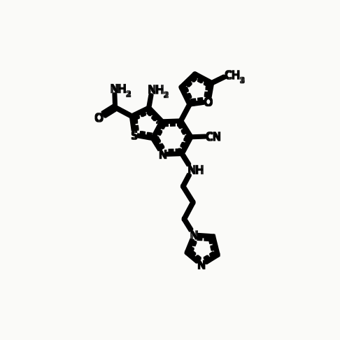 Cc1ccc(-c2c(C#N)c(NCCCn3ccnc3)nc3sc(C(N)=O)c(N)c23)o1